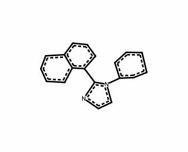 c1ccc(-n2ccnc2-c2cccc3ccccc23)cc1